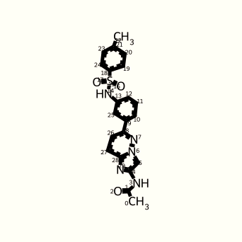 CC(=O)Nc1cn2nc(-c3cccc(NS(=O)(=O)c4ccc(C)cc4)c3)ccc2n1